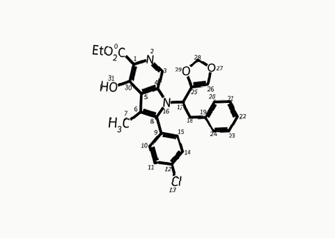 CCOC(=O)c1ncc2c(c(C)c(-c3ccc(Cl)cc3)n2C(Cc2ccccc2)C2=COCO2)c1O